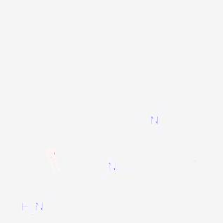 NC(=O)CN1CCN(Cc2ccccc2)C(Cl)C1